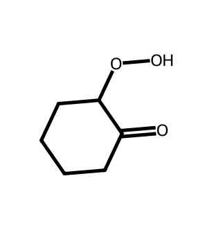 O=C1CCCCC1OO